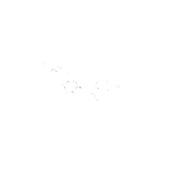 CC(C)(C)OC(=O)N1CCCCC1Oc1ccnc(COS(C)(=O)=O)n1